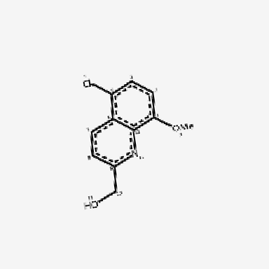 COc1ccc(Cl)c2ccc(CO)nc12